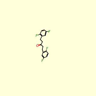 O=C(CCc1cc(F)ccc1F)CCc1cc(F)ccc1F